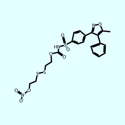 Cc1onc(-c2ccc(S(=O)(=O)NC(=O)OCCSSCCO[N+](=O)[O-])cc2)c1-c1ccccc1